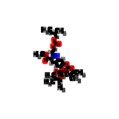 CCC(C)COC(=O)OCCN[C@@H](Cc1ccc(OC(=O)OC(C)C(C)C)c(OC(=O)OC(C)C(C)C)c1)C(=O)OC